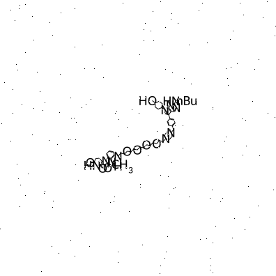 CCCCNc1ncc2c(-c3ccc(CN4CCN(CCOCCOCCOCCOCCNc5cccc6c5n(C)c(=O)n6C5CCC(=O)NC5=O)CC4)cc3)cn(C3CCC(O)CC3)c2n1